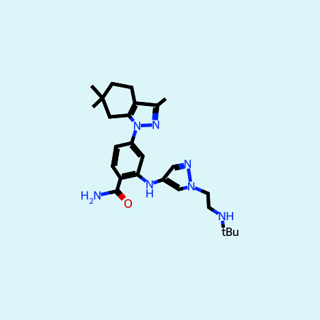 Cc1nn(-c2ccc(C(N)=O)c(Nc3cnn(CCNC(C)(C)C)c3)c2)c2c1CCC(C)(C)C2